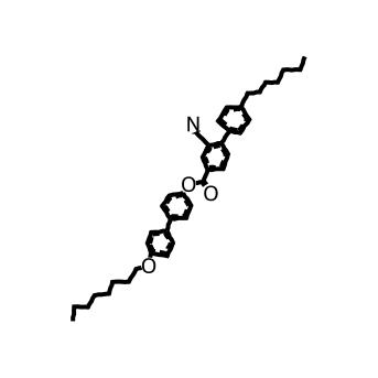 CCCCCCCCOc1ccc(-c2ccc(OC(=O)c3ccc(-c4ccc(CCCCCCC)cc4)c(C#N)c3)cc2)cc1